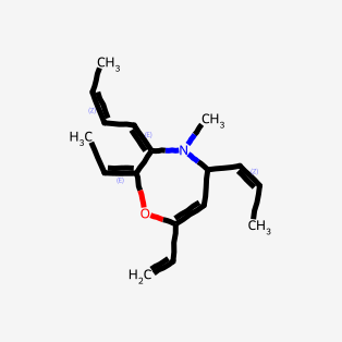 C=CC1=CC(/C=C\C)N(C)C(=C/C=C\C)/C(=C\C)O1